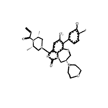 C=CC(=O)N1[C@H](C)CN(c2nc(=O)n3c4c(c(-c5ccc(F)c(Cl)c5)c(C(F)(F)F)cc24)SC[C@H](N2CCOCC2)C3)C[C@@H]1C